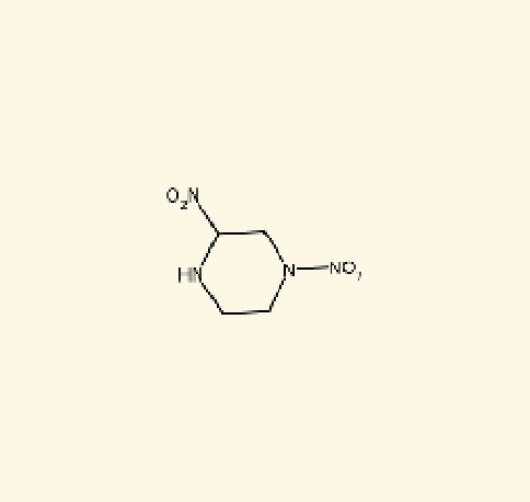 O=[N+]([O-])C1CN([N+](=O)[O-])CCN1